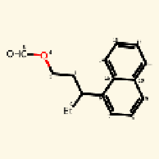 CCC(CCOC=O)c1cccc2ccccc12